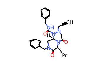 C#CCN1CC(=O)N2[C@@H](CC(C)C)C(=O)N(Cc3ccccc3)C[C@@H]2N1C(=O)NCc1ccccc1